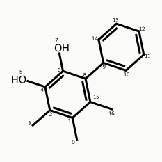 Cc1c(C)c(O)c(O)c(-c2ccccc2)c1C